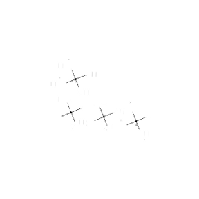 CC(C)(C)C.CC(C)(C)C.CC(C)(C)C.CC(C)(C)C